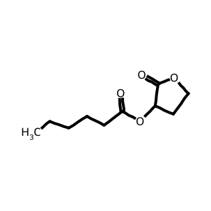 CCCCCC(=O)OC1CCOC1=O